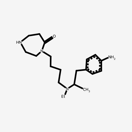 CCN(CCCCN1CCNCCC1=O)C(C)Cc1ccc(N)cc1